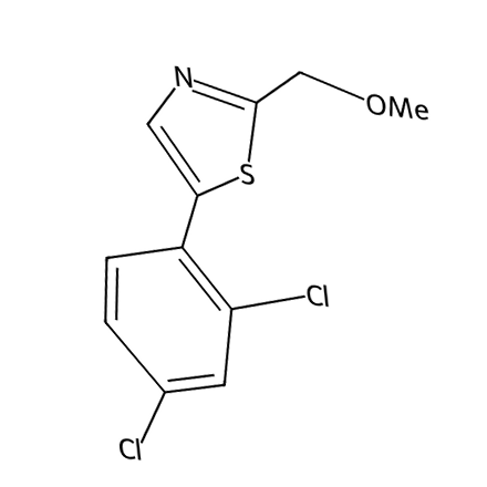 COCc1ncc(-c2ccc(Cl)cc2Cl)s1